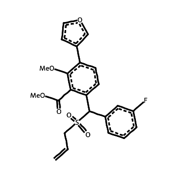 C=CCS(=O)(=O)C(c1cccc(F)c1)c1ccc(-c2ccoc2)c(OC)c1C(=O)OC